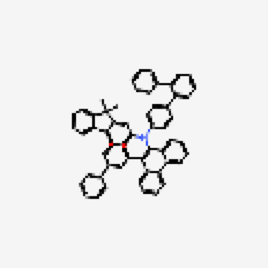 CC1(C)c2ccccc2-c2ccc(N(c3ccc(-c4ccccc4-c4ccccc4)cc3)c3c(-c4cccc(-c5ccccc5)c4)c4ccccc4c4ccccc34)cc21